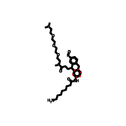 CN(C)CCOCCOCCOCCN(C)C(=O)CCC12c3ccccc3C(c3ccc(N=O)cc31)c1ccc(NC(=O)CCCCCCCN)cc12